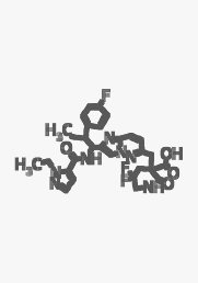 CCC(c1ccc(F)cc1)C(NC(=O)c1ccnn1CC)c1cn2nc(CC3(C(=O)O)CC(F)(F)CNC3=O)ccc2n1